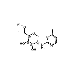 Cc1ccnc(N[C@H]2CO[C@H](COC(C)C)[C@H](O)[C@@H]2O)n1